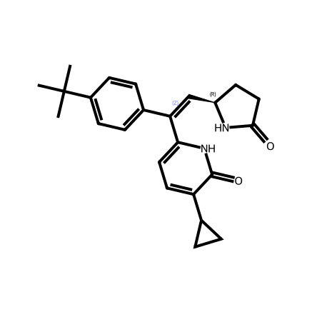 CC(C)(C)c1ccc(/C(=C/[C@H]2CCC(=O)N2)c2ccc(C3CC3)c(=O)[nH]2)cc1